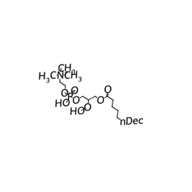 CCCCCCCCCCCCCCC(=O)OCC(COP(=O)(O)OCC[N+](C)(C)C)OO